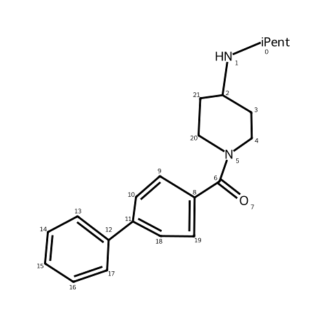 CCCC(C)NC1CCN(C(=O)c2ccc(-c3ccccc3)cc2)CC1